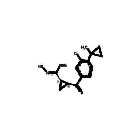 CN/C(=N\O)[C@H]1C[C@@H]1C(=O)c1ccc(C2(C)CC2)c(Cl)c1